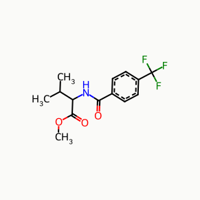 COC(=O)C(NC(=O)c1ccc(C(F)(F)F)cc1)C(C)C